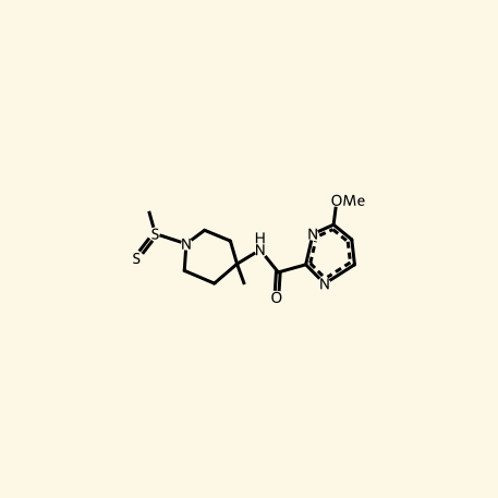 COc1ccnc(C(=O)NC2(C)CCN(S(C)=S)CC2)n1